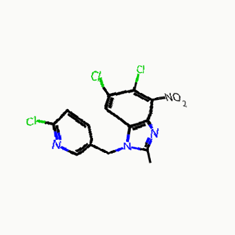 Cc1nc2c([N+](=O)[O-])c(Cl)c(Cl)cc2n1Cc1ccc(Cl)nc1